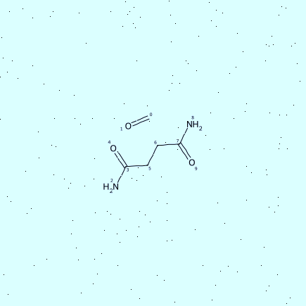 C=O.NC(=O)CCC(N)=O